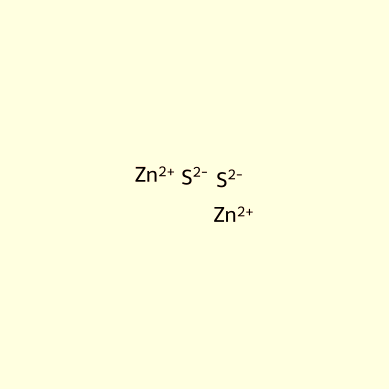 [S-2].[S-2].[Zn+2].[Zn+2]